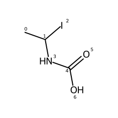 CC(I)NC(=O)O